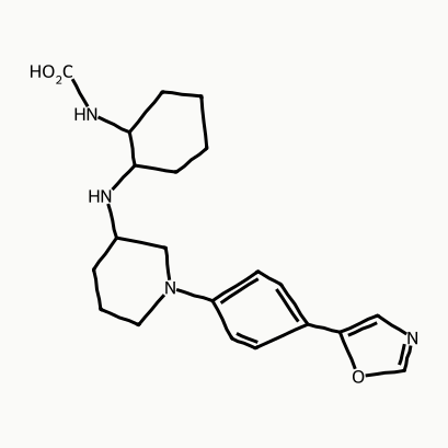 O=C(O)NC1CCCCC1NC1CCCN(c2ccc(-c3cnco3)cc2)C1